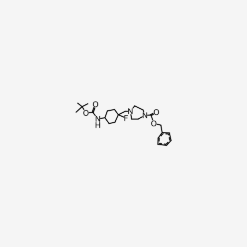 CC(C)(C)OC(=O)NC1CCC(F)(CN2CCN(C(=O)OCc3ccccc3)CC2)CC1